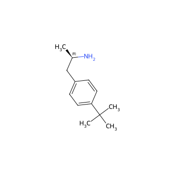 C[C@@H](N)Cc1ccc(C(C)(C)C)cc1